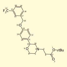 CC(C)(C)OC(=O)CCN1CCOC(c2ccc(OCc3cccc(C(F)(F)F)c3)cc2)C1